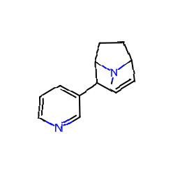 CN1C2C=CC(c3cccnc3)C1CC2